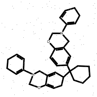 C1=CC(N2COC3=CCC(C4(c5ccc6c(c5)CN(C5=CCCC=C5)CO6)CCCCC4)C=C3C2)=CCC1